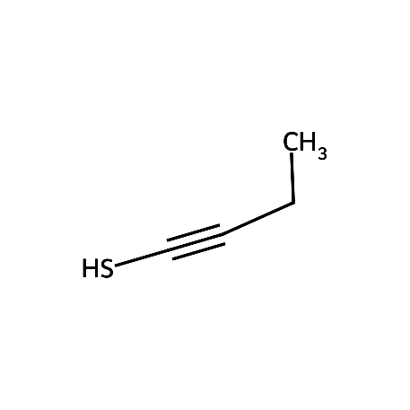 CCC#CS